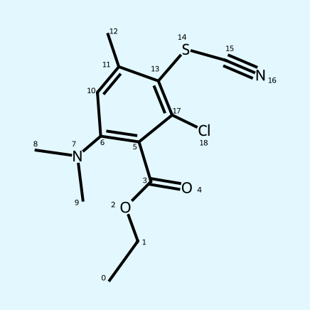 CCOC(=O)c1c(N(C)C)cc(C)c(SC#N)c1Cl